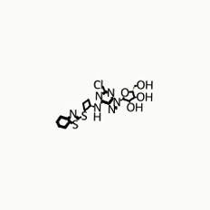 OC[C@H]1O[C@H](n2cnc3c(N[C@@H]4CC[C@@H]4Sc4nc5ccccc5s4)nc(Cl)nc32)[C@H](O)[C@@H]1O